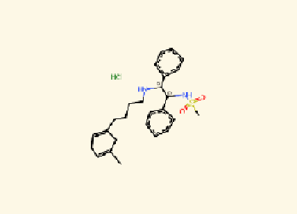 CC1=CCC=C(CCCCN[C@@H](c2ccccc2)[C@@H](NS(C)(=O)=O)c2ccccc2)C1.Cl